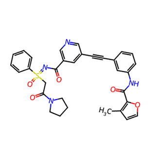 Cc1ccoc1C(=O)Nc1cccc(C#Cc2cncc(C(=O)N=S(=O)(CC(=O)N3CCCC3)c3ccccc3)c2)c1